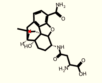 CN1CC[C@]23c4c5ccc(C(N)=O)c4OC2[C@H](NC(=O)C[C@H](N)C(=O)O)CC[C@@]3(O)[C@H]1C5